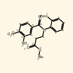 CCCCCc1ccccc1N(CCC(=O)OC(C)(C)C)C(=O)c1ccc([N+](=O)[O-])c([N+](=O)[O-])c1